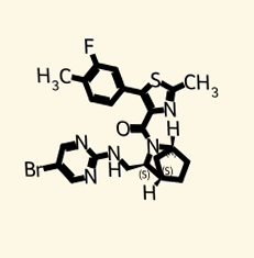 Cc1nc(C(=O)N2[C@@H]3CC[C@@H](C3)[C@H]2CNc2ncc(Br)cn2)c(-c2ccc(C)c(F)c2)s1